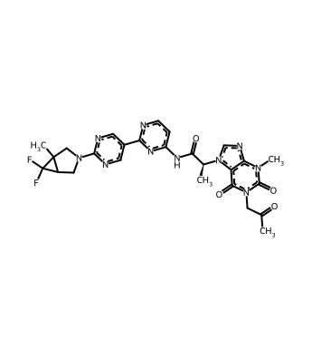 CC(=O)Cn1c(=O)c2c(ncn2[C@@H](C)C(=O)Nc2ccnc(-c3cnc(N4CC5C(F)(F)C5(C)C4)nc3)n2)n(C)c1=O